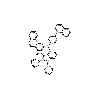 c1ccc(-n2c3cccc(N(c4ccc(-c5cccc6ccccc56)cc4)c4ccc5ccc6ccccc6c5c4)c3c3ccc4ccccc4c32)cc1